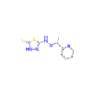 CC(=NNc1n[nH]c(=S)s1)c1ccccn1